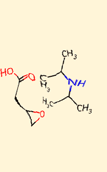 CC(C)NC(C)C.O=C(O)C[C@@H]1CO1